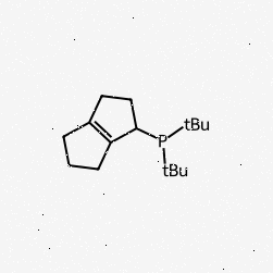 CC(C)(C)P(C1CCC2=C1CCC2)C(C)(C)C